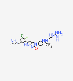 C[C@H](N)CCCc1cc(Cl)c(F)c(-c2cc3cn(-c4ccc([C@@H](NCCCNC(=N)N)C(F)(F)F)cc4)c(=O)nc3[nH]2)c1